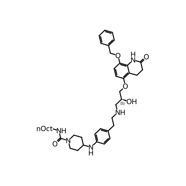 CCCCCCCCNC(=O)N1CCC(Nc2ccc(CCNC[C@H](O)COc3ccc(OCc4ccccc4)c4c3CCC(=O)N4)cc2)CC1